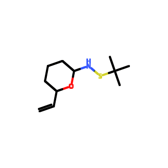 C=CC1CCCC(NSC(C)(C)C)O1